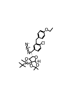 CCOc1ccc(Cc2cc(C(N=[N+]=[N-])[C@@H]3O[C@H]4OC(C)(C)O[C@H]4[C@@H]3O[Si](C)(C)C(C)(C)C)ccc2Cl)cc1